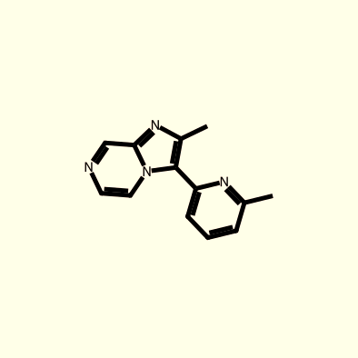 Cc1cccc(-c2c(C)nc3cnccn23)n1